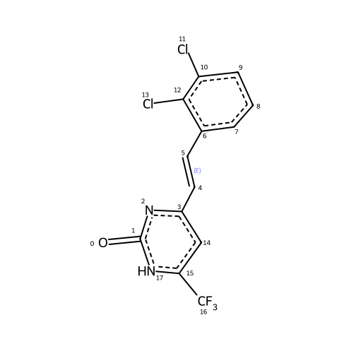 O=c1nc(/C=C/c2cccc(Cl)c2Cl)cc(C(F)(F)F)[nH]1